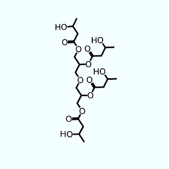 CC(O)CC(=O)OCC(COCC(COC(=O)CC(C)O)OC(=O)CC(C)O)OC(=O)CC(C)O